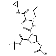 CCC[C@H](NC(=O)[C@@H]1C[C@@H](OC(=O)O)CN1C(=O)OC(C)(C)C)C(=O)C(=O)NC1CC1